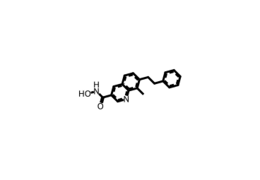 Cc1c(CCc2ccccc2)ccc2cc(C(=O)NO)cnc12